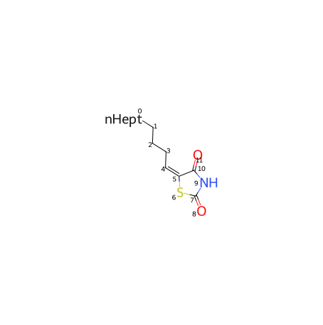 CCCCCCCCCCC=C1SC(=O)NC1=O